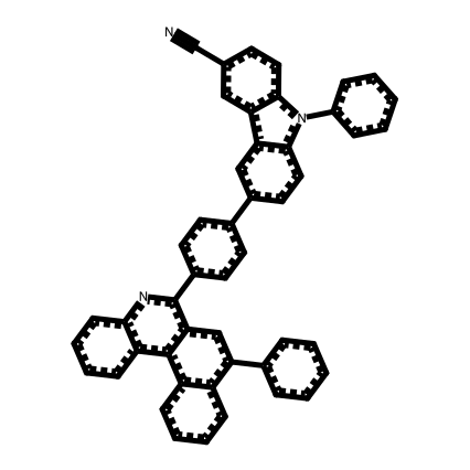 N#Cc1ccc2c(c1)c1cc(-c3ccc(-c4nc5ccccc5c5c4cc(-c4ccccc4)c4ccccc45)cc3)ccc1n2-c1ccccc1